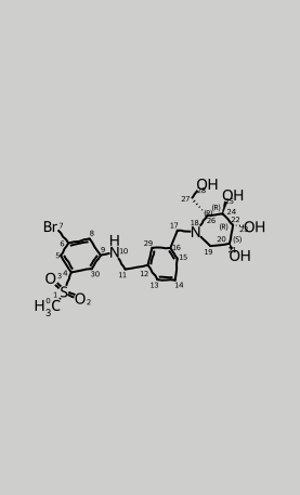 CS(=O)(=O)c1cc(Br)cc(NCc2cccc(CN3C[C@H](O)[C@@H](O)[C@H](O)[C@H]3CO)c2)c1